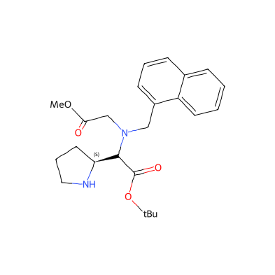 COC(=O)CN(Cc1cccc2ccccc12)C(C(=O)OC(C)(C)C)[C@@H]1CCCN1